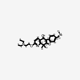 CCN(CC)CCOc1ccc2c(n1)C(C)(C)c1oc3cc(/C=N\C)ccc3c1C2=O